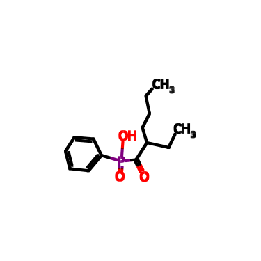 CCCCC(CC)C(=O)P(=O)(O)c1ccccc1